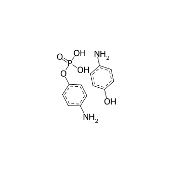 Nc1ccc(O)cc1.Nc1ccc(OP(=O)(O)O)cc1